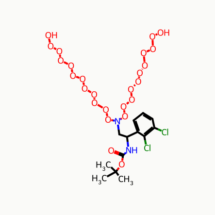 CC(C)(C)OC(=O)NC(CN(OOOOOOOOOOO)OOOOOOOOOOOO)c1cccc(Cl)c1Cl